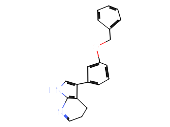 C1=Nc2[nH]cc(-c3cccc(OCc4ccccc4)c3)c2CC1